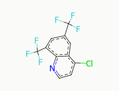 FC(F)(F)c1cc(C(F)(F)F)c2nccc(Cl)c2c1